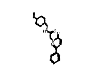 CCC1CCC(CNC(=O)Cn2nc(-c3ccccc3)ccc2=O)CC1